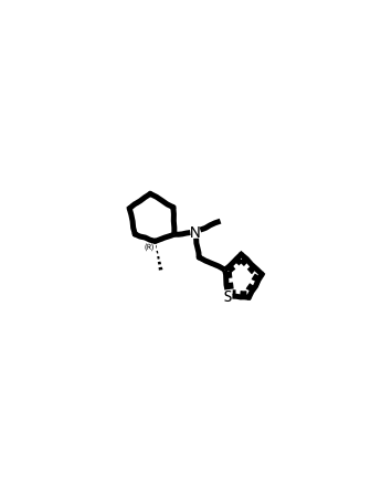 C[C@@H]1CCCCC1N(C)Cc1cccs1